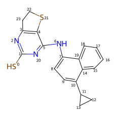 Sc1nc2c(c(Nc3ccc(C4CC4)c4ccccc34)n1)SCC2